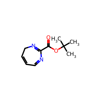 CC(C)(C)OC(=O)C1=NCC=CC=N1